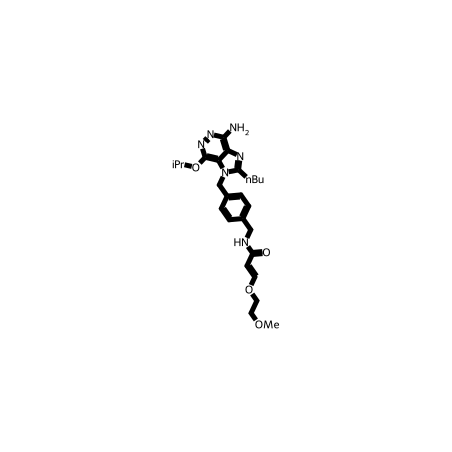 CCCCc1nc2c(N)nnc(OC(C)C)c2n1Cc1ccc(CNC(=O)C=COCCOC)cc1